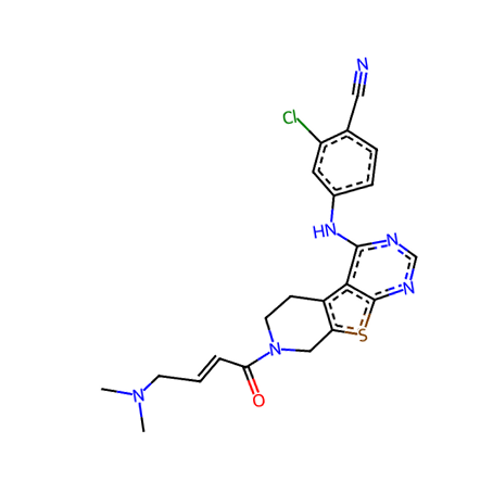 CN(C)CC=CC(=O)N1CCc2c(sc3ncnc(Nc4ccc(C#N)c(Cl)c4)c23)C1